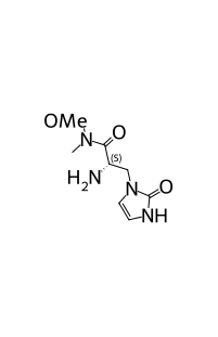 CON(C)C(=O)[C@@H](N)Cn1cc[nH]c1=O